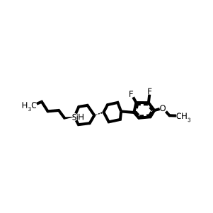 CCCCC[Si@H]1CC[C@H](C2CCC(c3ccc(OCC)c(F)c3F)CC2)CC1